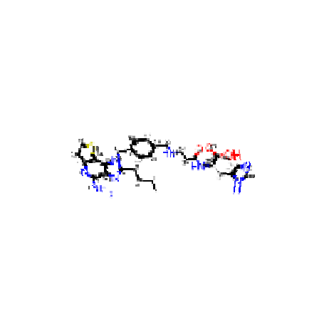 CCCCc1nc2c(N)nc3ccsc3c2n1Cc1ccc(CNCCC(=O)N[C@@H](Cc2cnc[nH]2)C(=O)O)cc1